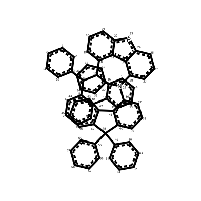 c1ccc(C2c3ccccc3-c3ccccc3C2c2cccc3sc4cccc(N(c5ccccc5)c5cccc6c5-c5ccccc5C6(c5ccccc5)c5ccccc5)c4c23)cc1